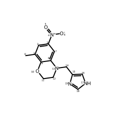 Cc1cc([N+](=O)[O-])cc2c1OCCN2Cc1c[nH]cn1